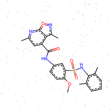 COc1ccc(NC(=O)c2cc(C)nc3onc(C)c23)cc1S(=O)(=O)Nc1c(C)cccc1C